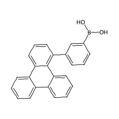 OB(O)c1cccc(-c2cccc3c4ccccc4c4ccccc4c23)c1